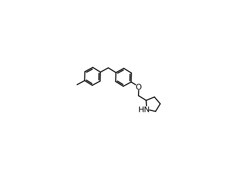 Cc1ccc(Cc2ccc(OCC3CCCN3)cc2)cc1